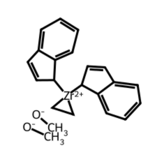 C1=C[CH]([Zr+2]2([CH]3C=Cc4ccccc43)[CH2][CH2]2)c2ccccc21.C[O-].C[O-]